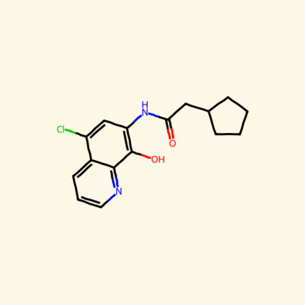 O=C(CC1CCCC1)Nc1cc(Cl)c2cccnc2c1O